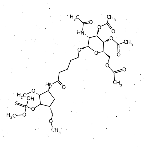 COC[C@H]1C[C@H](NC(=O)CCCCO[C@@H]2O[C@H](COC(C)=O)[C@H](OC(C)=O)[C@H](OC(C)=O)[C@H]2NC(C)=O)[C@@H](OC)C1OP(O)(=S)OC